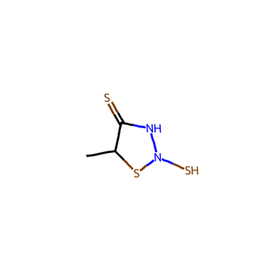 CC1SN(S)NC1=S